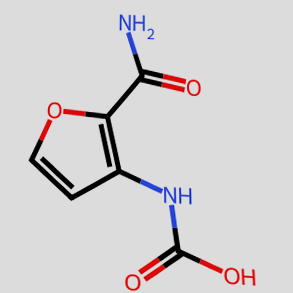 NC(=O)c1occc1NC(=O)O